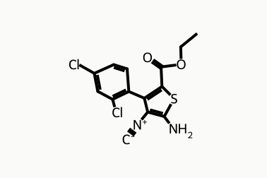 [C-]#[N+]c1c(N)sc(C(=O)OCC)c1-c1ccc(Cl)cc1Cl